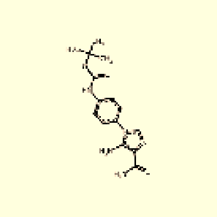 CC(C)(C)OC(=O)Nc1ccc(-n2cnc(C(N)=O)c2N)cc1